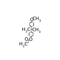 C=CC(=O)Oc1ccc(C(C)(C)c2ccc(OC)cc2)cc1